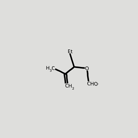 C=C(C)C(CC)O[C]=O